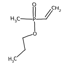 C=CP(C)(=O)OCCC